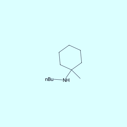 CCCCNC1(C)CCCCC1